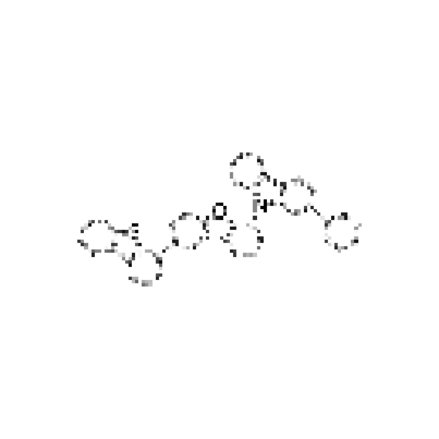 c1ccc(-c2ccc3c4ccccc4n(-c4cccc5c4oc4ccc(-c6cccc7c6sc6ccccc67)cc45)c3c2)cc1